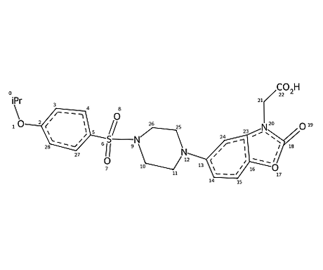 CC(C)Oc1ccc(S(=O)(=O)N2CCN(c3ccc4oc(=O)n(CC(=O)O)c4c3)CC2)cc1